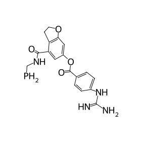 N=C(N)Nc1ccc(C(=O)Oc2cc3c(c(C(=O)NCP)c2)CCO3)cc1